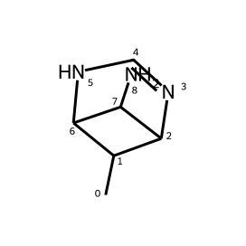 CC1C2N=CNC1C2N